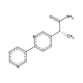 C[C@@H](C(N)=O)c1ccc(-c2cccnc2)nc1